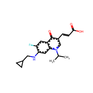 CC(C)n1cc(/C=C/C(=O)O)c(=O)c2cc(F)c(NCC3CC3)cc21